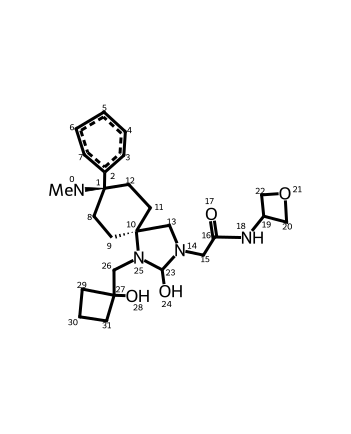 CN[C@]1(c2ccccc2)CC[C@]2(CC1)CN(CC(=O)NC1COC1)C(O)N2CC1(O)CCC1